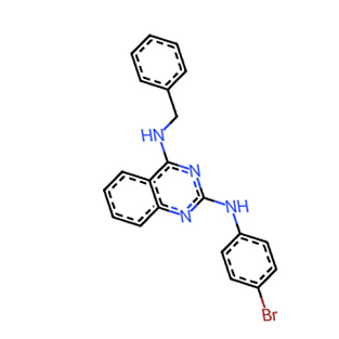 Brc1ccc(Nc2nc(NCc3ccccc3)c3ccccc3n2)cc1